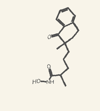 CC(CCCC1(C)CCc2ccccc2C1=O)C(=O)NO